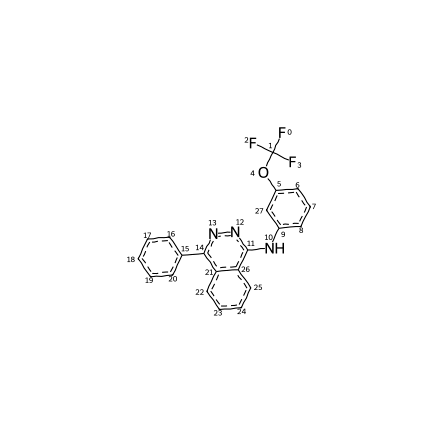 FC(F)(F)Oc1cccc(Nc2nnc(-c3ccccc3)c3ccccc23)c1